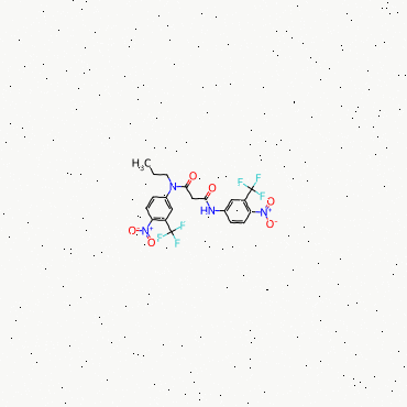 CCCN(C(=O)CC(=O)Nc1ccc([N+](=O)[O-])c(C(F)(F)F)c1)c1ccc([N+](=O)[O-])c(C(F)(F)F)c1